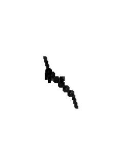 CCCCCCCCOc1ccc(-c2ccc(-c3ccc(C4=CCC(C5CCC(CCCCCCC)CC5)CC4)cc3F)cc2)c(F)c1F